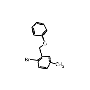 Cc1ccc(Br)c(COc2ccccc2)c1